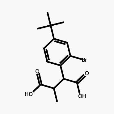 CC(C(=O)O)C(C(=O)O)c1ccc(C(C)(C)C)cc1Br